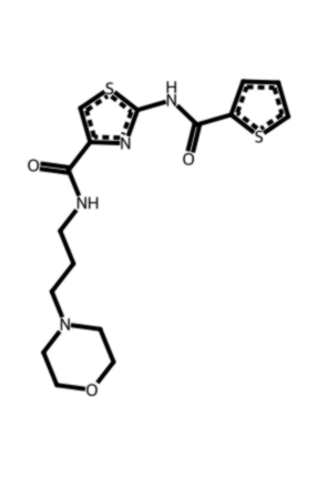 O=C(NCCCN1CCOCC1)c1csc(NC(=O)c2cccs2)n1